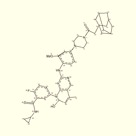 COc1cc(N2CCN(C(=O)CC34CC5CC(CC(C5)C3)C4)CC2)ccc1Nc1ncc2c(n1)N(c1ccc(F)c(C(=O)NC3CC3)c1)C(O)C=C2C